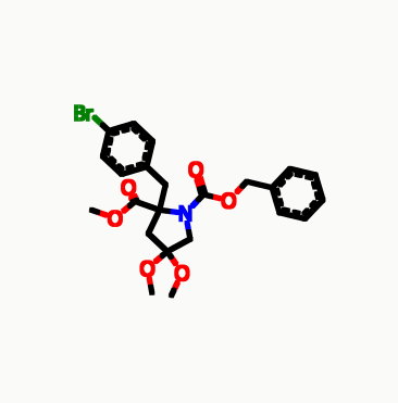 COC(=O)C1(Cc2ccc(Br)cc2)CC(OC)(OC)CN1C(=O)OCc1ccccc1